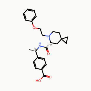 C[C@H](NC(=O)[C@H]1CC2(CCN1CCOc1ccccc1)CC2)c1ccc(C(=O)O)cc1